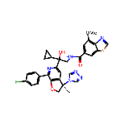 COc1cc(C(=O)NCC(O)(c2cc3c(c(-c4ccc(F)cc4)n2)OC[C@]3(C)n2cnnc2)C2CC2)cc2scnc12